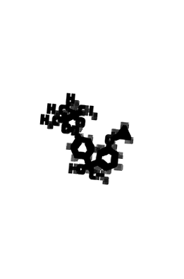 CC(O)(c1ccc(B2OC(C)(C)C(C)(C)O2)cc1)c1cccc(OC2CC2)c1